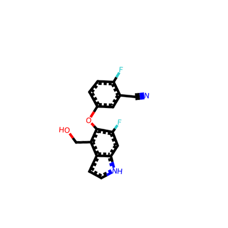 N#Cc1cc(Oc2c(F)cc3[nH]ccc3c2CO)ccc1F